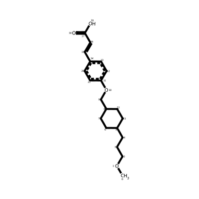 COCCCC1CCC(COc2ccc(C=CC(=O)O)cc2)CC1